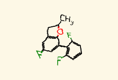 CC1Cc2cc(F)cc(-c3c(F)cccc3F)c2O1